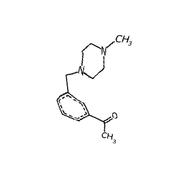 CC(=O)c1cccc(CN2CCN(C)CC2)c1